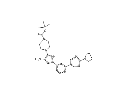 CC(C)(C)OC(=O)N1CCN(c2[nH]c(-c3ccnc(-c4ccc(N5CCCC5)nc4)c3)cc2N)CC1